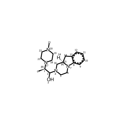 C[C@H](C(O)N1CCN2c3ccccc3C[C@@H]2C1)N1CCN(C)CC1